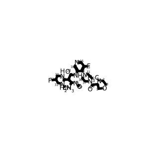 CN1CCOCC1C(=O)N1CCN(c2c(F)cncc2NC(=O)C(C(N)N=O)C2NCC(F)CN2C)CC1